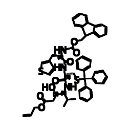 C=CCOC(=O)C[C@H](O)[C@H](NC(=O)[C@@H](CSC(c1ccccc1)(c1ccccc1)c1ccccc1)NC(=O)[C@@H](Cc1ccsc1)NC(=O)OCC1c2ccccc2-c2ccccc21)C(C)C